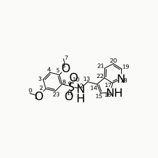 COc1ccc(OC)c(S(=O)(=O)NCc2c[nH]c3ncccc23)c1